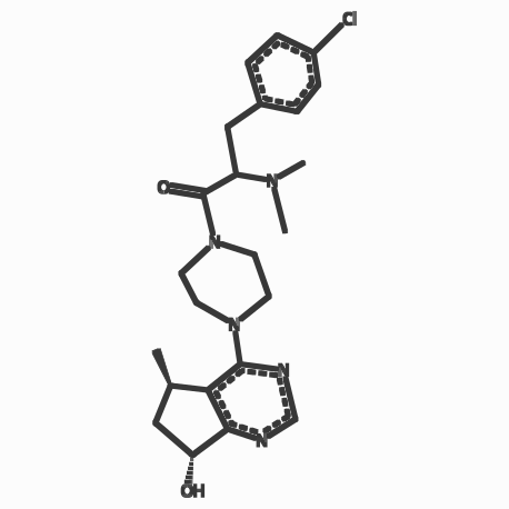 C[C@@H]1C[C@@H](O)c2ncnc(N3CCN(C(=O)C(Cc4ccc(Cl)cc4)N(C)C)CC3)c21